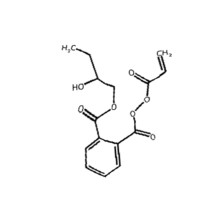 C=CC(=O)OOC(=O)c1ccccc1C(=O)OCC(O)CC